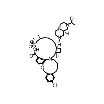 CC(=O)N1CCN2CCN(C[C@H]3CCC[C@H](C)[C@@H](C)S(=O)(=O)NC(=O)c4ccc5c(c4)N(CCCCc4cc(Cl)ccc4CO5)C[C@@H]4CC[C@@H]34)C[C@@H]2C1